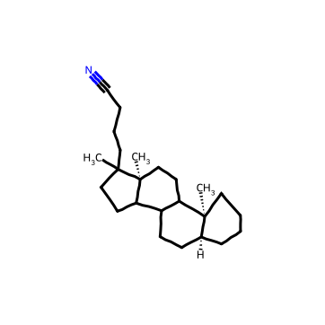 CC1(CCCC#N)CCC2C3CC[C@@H]4CCCC[C@]4(C)C3CC[C@@]21C